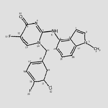 Cn1ccc2c(Nc3nc(=O)c(F)cn3CC3=CC=C(F)C(Cl)C3)cccc21